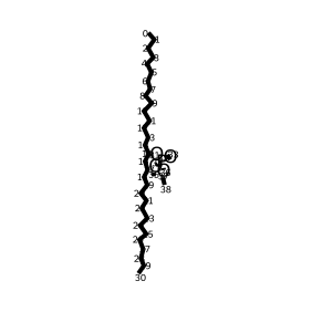 CCCCCCCCCCCCCCCC(CCCCCCCCCCCCCCC)OP(=O)(OC)OCC